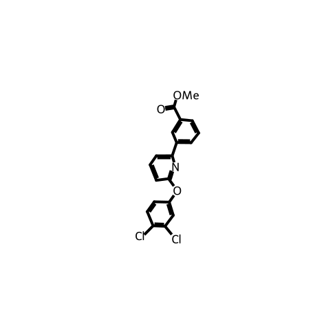 COC(=O)c1cccc(-c2cccc(Oc3ccc(Cl)c(Cl)c3)n2)c1